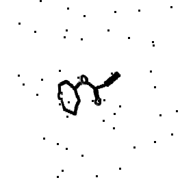 C#CC(=O)OC1CCCCCC1